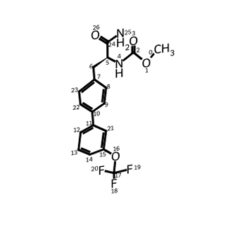 COC(=O)N[C@@H](Cc1ccc(-c2cccc(OC(F)(F)F)c2)cc1)C(N)=O